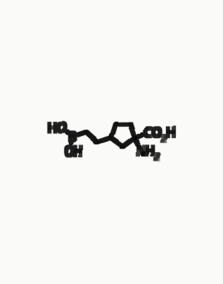 NC1(C(=O)O)CCC(CCB(O)O)C1